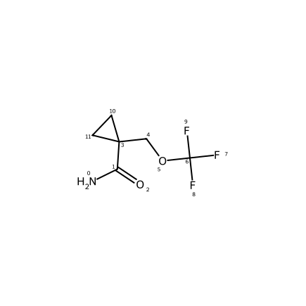 NC(=O)C1(COC(F)(F)F)CC1